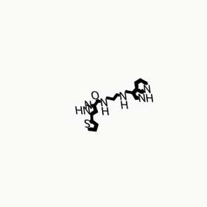 O=C(NCCCNCc1c[nH]c2ncccc12)c1cc(-c2cccs2)[nH]n1